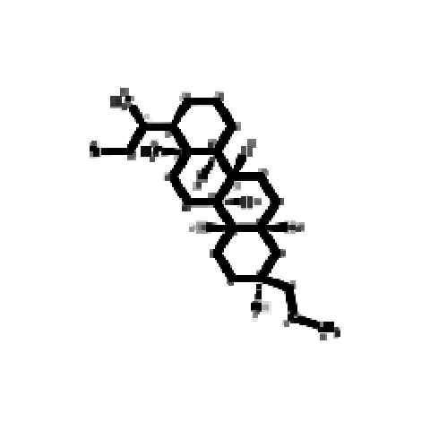 COC[C@@]1(O)CC[C@H]2[C@H](CC[C@@H]3[C@@H]2CC[C@]2(C)[C@@H]([C@H](C)CBr)CCC[C@@H]32)C1